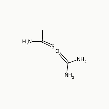 CC(N)=S.NC(N)=O